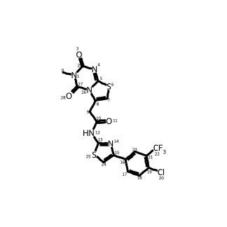 Cn1c(=O)nc2scc(CC(=O)Nc3nc(-c4ccc(Cl)c(C(F)(F)F)c4)cs3)n2c1=O